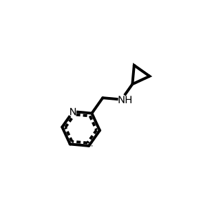 [c]1ccnc(CNC2CC2)c1